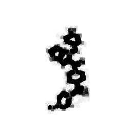 CN1CCN(C(=O)C2CCN(C(=O)c3cc4sccc4n3Cc3ccc(O)cc3)CC2)CC1